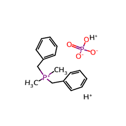 C[P+](C)(Cc1ccccc1)Cc1ccccc1.O=P([O-])([O-])[O-].[H+].[H+]